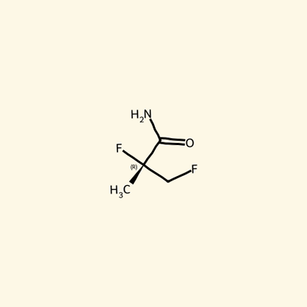 C[C@](F)(CF)C(N)=O